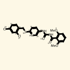 COc1cccc(OC)c1C(=O)NC(=O)Nc1ccc(SCc2ccc(Cl)cc2Cl)nc1